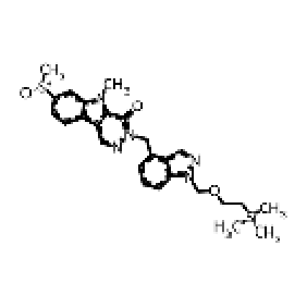 Cn1c2cc([S+](C)[O-])ccc2c2cnn(Cc3cccc4c3cnn4COCC[Si](C)(C)C)c(=O)c21